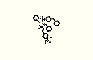 O=C([C@H](Cc1ccccc1)N(Cc1ccccc1)C(=O)/C=C/c1ccc(C(F)(F)F)cc1)N1CCC(Cc2ccccc2)CC1